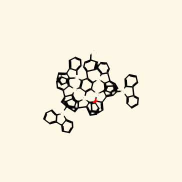 N#Cc1ccc(-c2c(-n3c4ccccc4c4ccccc43)c(-n3c4ccccc4c4cc(-n5c6ccccc6c6ccccc65)ccc43)c(-n3c4ccccc4c4ccccc43)c(-n3c4ccccc4c4cc(-n5c6ccccc6c6ccccc65)ccc43)c2-n2c3ccccc3c3ccccc32)cc1